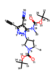 C#Cc1nn(C2C[C@H](C)N(C(=O)OC(C)(C)C)C2)c(N(C)C(=O)OC(C)(C)C)c1C#N